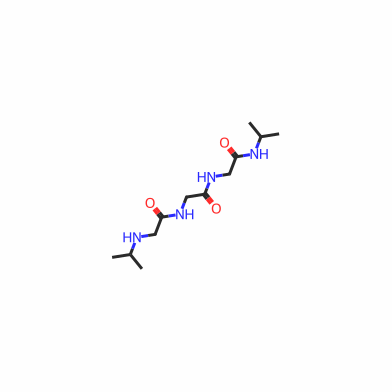 CC(C)NCC(=O)NCC(=O)NCC(=O)NC(C)C